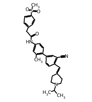 Cc1cc(NC(=O)Cc2ccc(S(C)(=O)=O)cc2)ccc1-c1ccc(C=C2CCN(C(C)C)CC2)c(C#N)c1